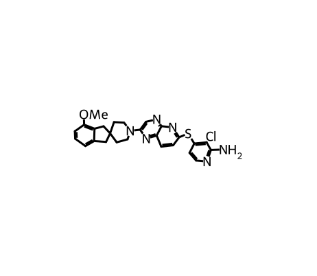 COc1cccc2c1CC1(CCN(c3cnc4nc(Sc5ccnc(N)c5Cl)ccc4n3)CC1)C2